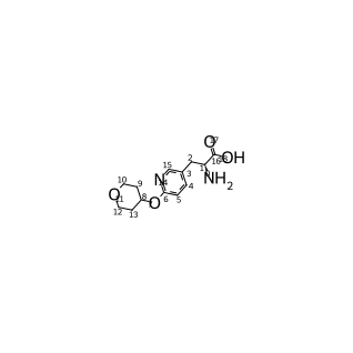 N[C@@H](Cc1ccc(OC2CCOCC2)nc1)C(=O)O